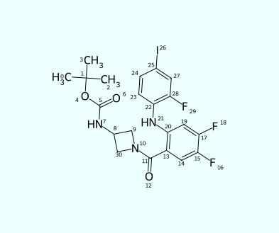 CC(C)(C)OC(=O)NC1CN(C(=O)c2cc(F)c(F)cc2Nc2ccc(I)cc2F)C1